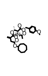 C=C(CC(=O)OC1CCCCCCC1)C(=O)O[C@H](C)[C@H](NC(C)=O)C(=O)OCc1ccc(OC)cc1